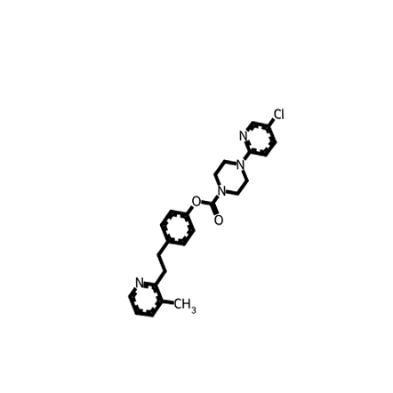 Cc1cccnc1CCc1ccc(OC(=O)N2CCN(c3ccc(Cl)cn3)CC2)cc1